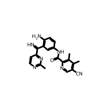 Cc1nccc(C(=N)c2cc(NC(=O)c3ncc(C#N)c(C)c3C)ccc2N)n1